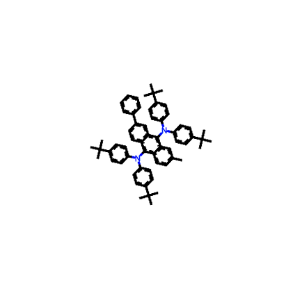 Cc1ccc2c(N(c3ccc(C(C)(C)C)cc3)c3ccc(C(C)(C)C)cc3)c3ccc(-c4ccccc4)cc3c(N(c3ccc(C(C)(C)C)cc3)c3ccc(C(C)(C)C)cc3)c2c1